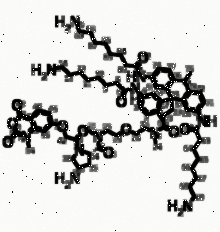 Cc1ccc(NC(=O)CCCCCCCN)cc1C1(CCC(=O)N(C)CCOCCN(C)C(=O)[C@@H]2C[C@H](N)CN2C(=O)COc2ccc3c(=O)oc(=O)n(C)c3c2)c2cc(NC(=O)CCCCCCCN)ccc2C(C)c2ccc(NC(=O)CCCCCCCN)cc21